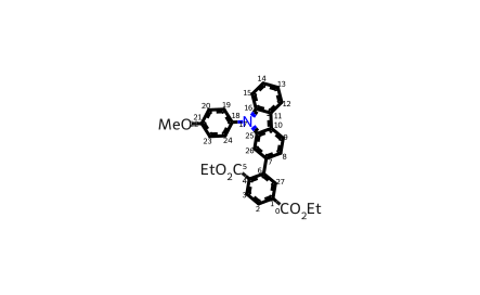 CCOC(=O)c1ccc(C(=O)OCC)c(-c2ccc3c4ccccc4n(-c4ccc(OC)cc4)c3c2)c1